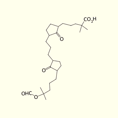 CC(C)(CCCC1CCC(CCCC2CCC(CCCC(C)(C)C(=O)O)C2=O)C1=O)OC=O